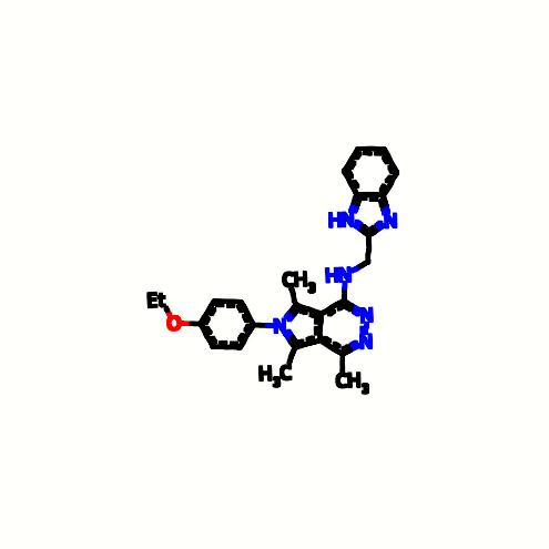 CCOc1ccc(-n2c(C)c3c(C)nnc(NCc4nc5ccccc5[nH]4)c3c2C)cc1